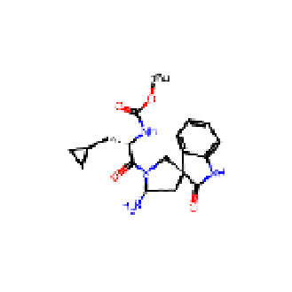 CC(C)(C)OC(=O)N[C@@H](CC1CC1)C(=O)N1C[C@]2(C[C@H]1N)C(=O)Nc1ccccc12